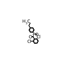 CCCc1ccc([P](=O)C(=O)c2c(Cl)cccc2Cl)cc1